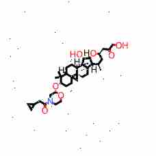 C[C@@H]1C[C@H](CC(=O)CO)O[C@H]2[C@H]1[C@@]1(C)CC[C@@]34CC35CC[C@H](O[C@H]3CN(C(=O)CC6CC6)CCO3)C(C)(C)[C@@H]5CC[C@H]4[C@]1(C)[C@H]2O